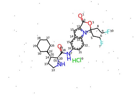 Cl.O=C1OC(CCF)(CCF)n2c1cc1cc(NC(=O)[C@H]3NCC[C@H]3C3CCCCC3)ccc12